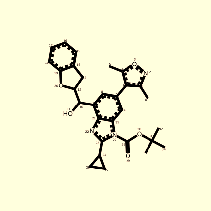 Cc1noc(C)c1-c1cc(C(O)C2Cc3ccccc3O2)c2nc(C3CC3)n(C(=O)OC(C)(C)C)c2c1